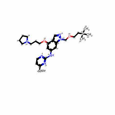 CNc1ccnc(Nc2cc(OCCCN3CCCC3)c3cnn(COCC[Si](C)(C)C)c3c2)n1